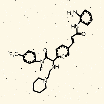 Nc1ccccc1NC(=O)C=Cc1ccc(C(NCCN2CCCCC2)C(=O)N(F)c2ccc(C(F)(F)F)cc2)cc1